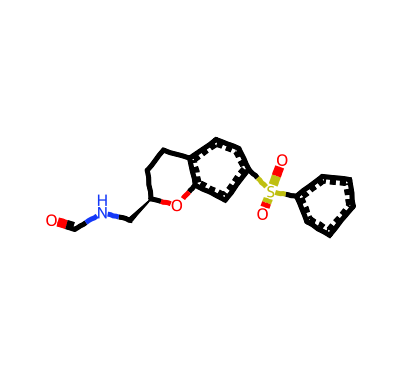 O=CNC[C@H]1CCc2ccc(S(=O)(=O)c3ccccc3)cc2O1